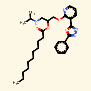 CCCCCCCCCCC(=O)OC(CNC(C)C)COc1ncccc1-c1nnc(-c2ccccc2)o1